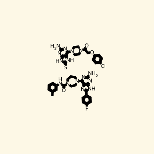 Cc1cccc(NC(=O)N2CCCN(c3nc(N)nc4[nH]c(-c5ccc(F)cc5)nc34)CC2)c1.Nc1nc(N2CCN(C(=O)COc3ccc(Cl)cc3)CC2)c2[nH]c(=S)[nH]c2n1